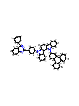 c1ccc(-c2nc(-c3ccc(-n4c5ccccc5c5c4ccc4c6ccccc6n(-c6ccc7c8ccccc8c8ccccc8c7c6)c45)cc3)nc3ccccc23)cc1